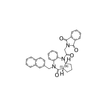 O=C1c2ccccc2C(=O)N1CC(=O)N1c2ccccc2N(Cc2ccc3ccccc3c2)C(=O)[C@H]2CCC[C@H]21